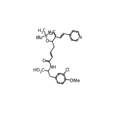 COc1ccc(CC(NC(=O)/C=C/CC(O[Si](C)(C)C(C)(C)C)C(C)/C=C/c2ccncc2)C(=O)O)cc1Cl